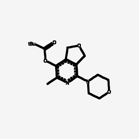 Cc1nc(N2CCOCC2)c2c(c1OC(=O)C(C)(C)C)COC2